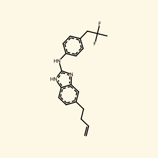 C=CCCc1ccc2[nH]c(Nc3ccc(CC(C)(F)F)cc3)nc2c1